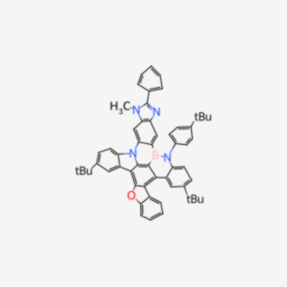 Cn1c(-c2ccccc2)nc2cc3c(cc21)-n1c2ccc(C(C)(C)C)cc2c2c4oc5ccccc5c4c4c(c21)B3N(c1ccc(C(C)(C)C)cc1)c1ccc(C(C)(C)C)cc1-4